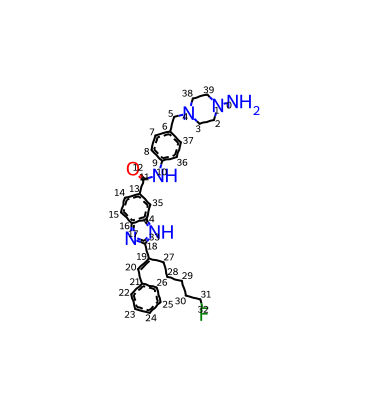 NN1CCN(Cc2ccc(NC(=O)c3ccc4nc(/C(=C/c5ccccc5)CCCCCF)[nH]c4c3)cc2)CC1